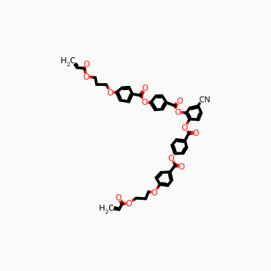 C=CC(=O)OCCCOc1ccc(C(=O)Oc2ccc(C(=O)Oc3ccc(C#N)cc3OC(=O)c3ccc(OC(=O)c4ccc(OCCCOC(=O)C=C)cc4)cc3)cc2)cc1